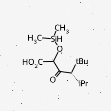 CC(C)[C@H](C(=O)C(O[SiH](C)C)C(=O)O)C(C)(C)C